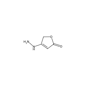 NNC1=CC(=O)OC1